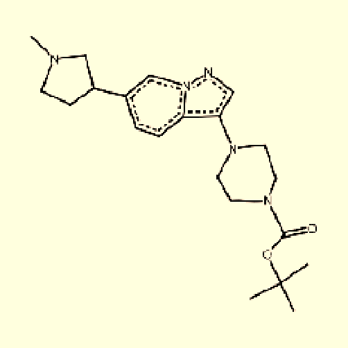 CN1CCC(c2ccc3c(N4CCN(C(=O)OC(C)(C)C)CC4)cnn3c2)C1